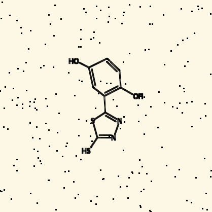 Oc1ccc(O)c(-c2nnc(S)s2)c1